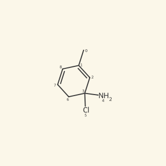 CC1=CC(N)(Cl)CC=C1